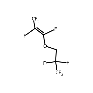 FC(OCC(F)(F)C(F)(F)F)=C(F)C(F)(F)F